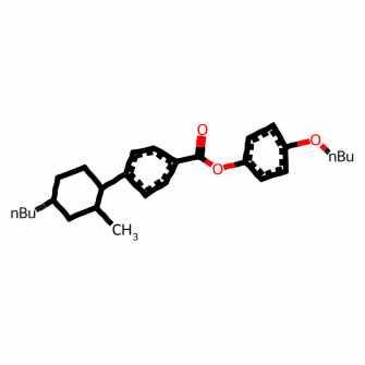 CCCCOc1ccc(OC(=O)c2ccc(C3CCC(CCCC)CC3C)cc2)cc1